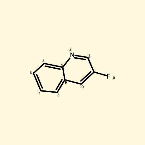 Fc1[c]nc2c[c]ccc2c1